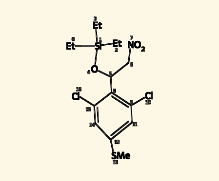 CC[Si](CC)(CC)OC(C[N+](=O)[O-])c1c(Cl)cc(SC)cc1Cl